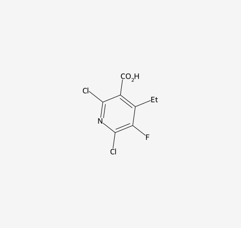 CCc1c(F)c(Cl)nc(Cl)c1C(=O)O